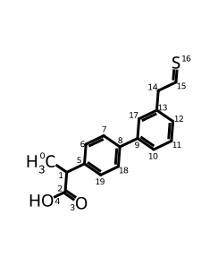 CC(C(=O)O)c1ccc(-c2cccc(CC=S)c2)cc1